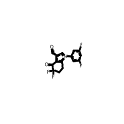 O=Cc1cn(-c2cc(F)cc(F)c2)c2c1C(=O)C(F)(F)CC2